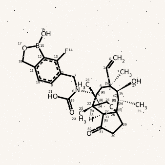 C=C[C@]1(C)C[C@@H](N(Cc2ccc3c(c2F)B(O)OC3)C(=O)O)[C@]2(C)[C@H](C)CC[C@]3(CCC(=O)[C@H]32)[C@@H](C)[C@@H]1O